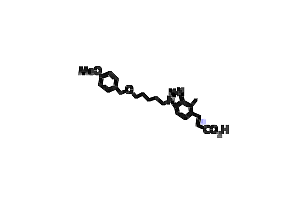 COc1ccc(COCCCCCn2nnc3c(C)c(/C=C/C(=O)O)ccc32)cc1